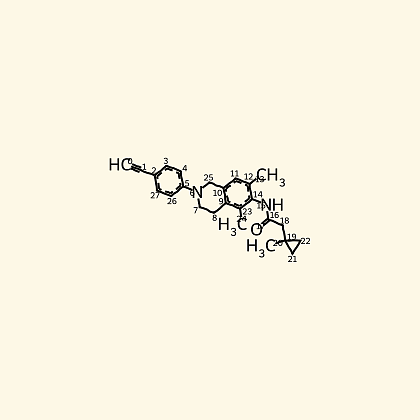 C#Cc1ccc(N2CCc3c(cc(C)c(NC(=O)CC4(C)CC4)c3C)C2)cc1